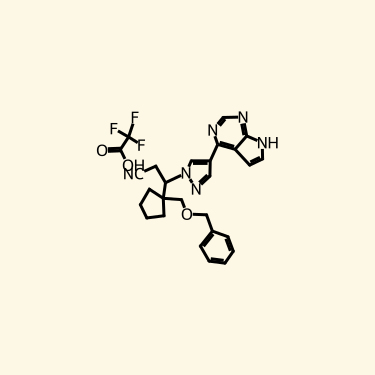 N#CCC(n1cc(-c2ncnc3[nH]ccc23)cn1)C1(COCc2ccccc2)CCCC1.O=C(O)C(F)(F)F